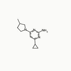 CC1CCN(c2cc(C3CC3)nc(N)n2)C1